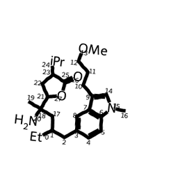 CCC(Cc1ccc2c(c1)c(CCCOC)cn2C)CC(C)(N)C1CC(C(C)C)C(=O)O1